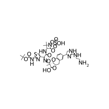 CC(C)(C)OC(=O)Nc1nc(C(=NOC(C)(C(=O)O)[C@H]2CCc3cc(C4CNC(NCCN)=N4)ccc3O2)C(=O)NC2C(=O)N(OS(=O)(=O)O)C2(C)C)cs1